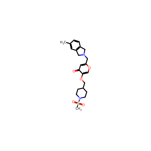 Cc1ccc2c(c1)CN(Cc1cc(=O)c(OCC3CCN(S(C)(=O)=O)CC3)co1)C2